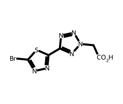 O=C(O)Cn1nnc(-c2nnc(Br)s2)n1